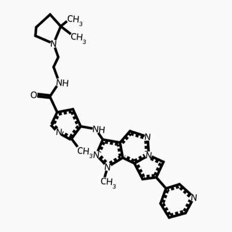 Cc1ncc(C(=O)NCCN2CCCC2(C)C)cc1Nc1nn(C)c2c1cnn1cc(-c3cccnc3)cc21